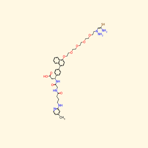 Cc1ccnc(NCCCC(=O)NCC(=O)N[C@@H](CC(=O)O)c2ccc(-c3ccc(OCCOCCOCCOCCOCCN(N)/C=C(\N)S)c4ccccc34)cc2)c1